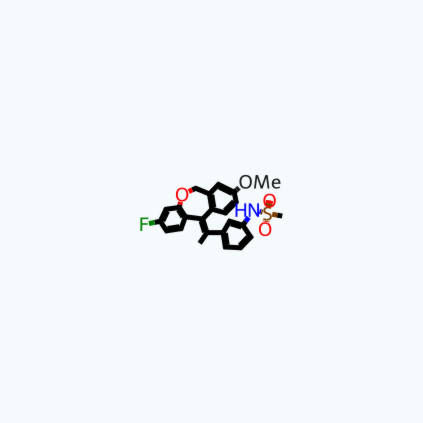 COc1ccc2c(c1)COc1cc(F)ccc1/C2=C(\C)c1cccc(NS(C)(=O)=O)c1